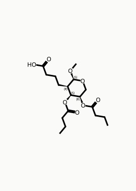 CCCC(=O)O[C@H]1[C@@H](CCCC(=O)O)[C@@H](OC)OC[C@H]1OC(=O)CCC